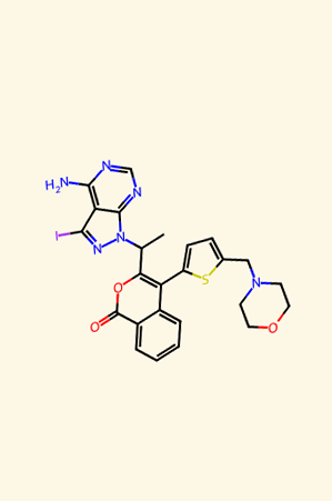 CC(c1oc(=O)c2ccccc2c1-c1ccc(CN2CCOCC2)s1)n1nc(I)c2c(N)ncnc21